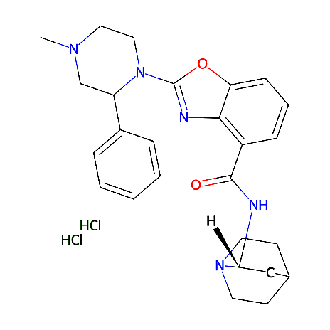 CN1CCN(c2nc3c(C(=O)N[C@@H]4CC5CCN4CC5)cccc3o2)C(c2ccccc2)C1.Cl.Cl